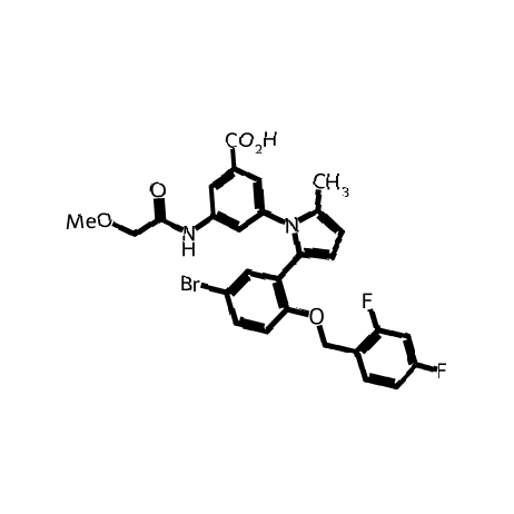 COCC(=O)Nc1cc(C(=O)O)cc(-n2c(C)ccc2-c2cc(Br)ccc2OCc2ccc(F)cc2F)c1